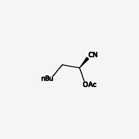 CCCCC[C@@H](C#N)OC(C)=O